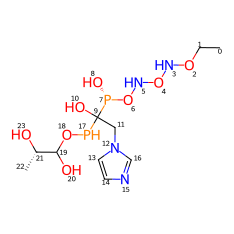 CCONONO[P@@](O)C(O)(Cn1ccnc1)POC(O)[C@H](C)O